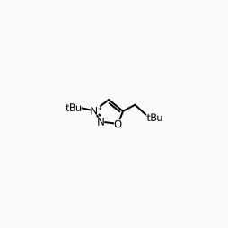 CC(C)(C)Cc1c[n+](C(C)(C)C)no1